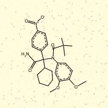 COc1ccc(N(C(=O)C(C)(C)C)C(C(N)=O)(c2ccc([N+](=O)[O-])cc2)C2CCCCC2)cc1OC